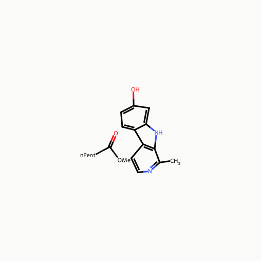 CCCCCC(=O)OC.Cc1nccc2c1[nH]c1cc(O)ccc12